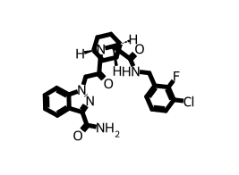 NC(=O)c1nn(CC(=O)N2[C@H]3CC[C@@H](CC3)[C@@H]2C(=O)NCc2cccc(Cl)c2F)c2ccccc12